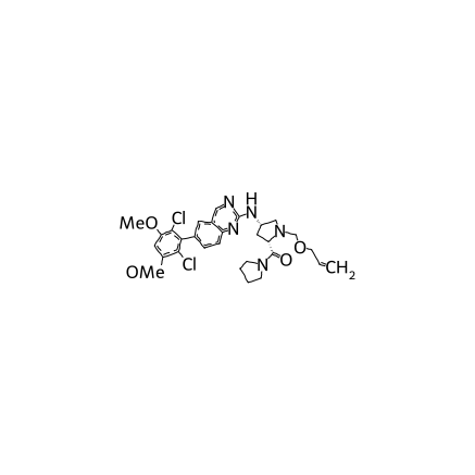 C=CCOCN1C[C@@H](Nc2ncc3cc(-c4c(Cl)c(OC)cc(OC)c4Cl)ccc3n2)C[C@H]1C(=O)N1CCCC1